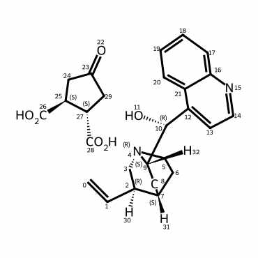 C=C[C@H]1C[N@]2CC[C@H]1C[C@H]2[C@H](O)c1ccnc2ccccc12.O=C1C[C@H](C(=O)O)[C@@H](C(=O)O)C1